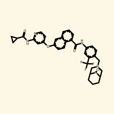 CN1C2CCCC1CN(Cc1ccc(NC(=O)c3cccc4cc(Oc5ccnc(NC(=O)C6CC6)c5)ccc34)cc1C(F)(F)F)C2